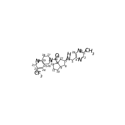 Cc1cnc(CNC2CC3CCCC3(C(=O)N3CCc4ncc(C(F)(F)F)cc4C3)C2)cn1